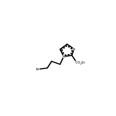 CCOC(=O)c1nccn1CCCBr